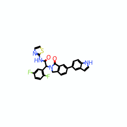 O=C(Nc1nccs1)C(c1cc(F)ccc1F)N1Cc2ccc(-c3ccc4[nH]ccc4c3)cc2C1=O